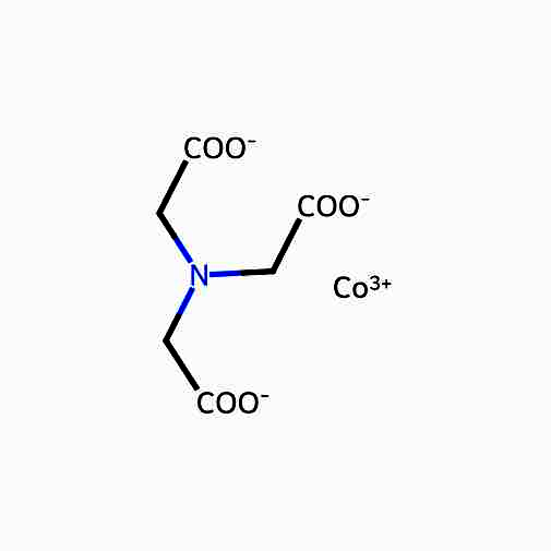 O=C([O-])CN(CC(=O)[O-])CC(=O)[O-].[Co+3]